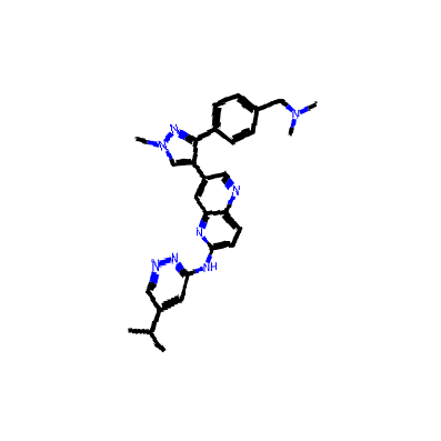 CC(C)c1cnnc(Nc2ccc3ncc(-c4cn(C)nc4-c4ccc(CN(C)C)cc4)cc3n2)c1